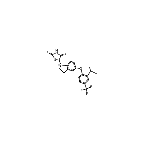 CC(C)c1cc(C(F)(F)F)ccc1Oc1ccc2c(c1)CC[C@H]2C1SC(=O)NC1=O